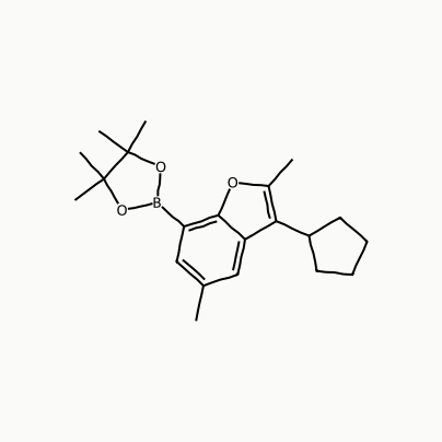 Cc1cc(B2OC(C)(C)C(C)(C)O2)c2oc(C)c(C3CCCC3)c2c1